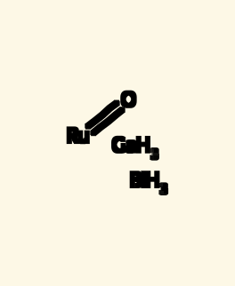 [BiH3].[GaH3].[O]=[Ru]